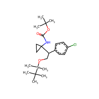 CC(C)(C)OC(=O)NC1(C(CO[Si](C)(C)C(C)(C)C)c2ccc(Cl)cc2)CC1